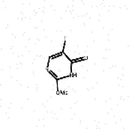 COc1ncc(F)c(=O)[nH]1